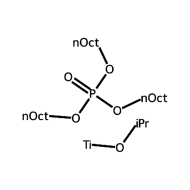 CC(C)[O][Ti].CCCCCCCCOP(=O)(OCCCCCCCC)OCCCCCCCC